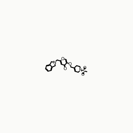 CS(=O)(=O)N1CC=C(COc2coc(CN3Cc4ccccc4C3)cc2=O)CC1